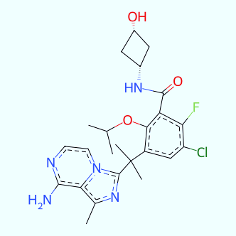 Cc1nc(C(C)(C)c2cc(Cl)c(F)c(C(=O)N[C@H]3C[C@@H](O)C3)c2OC(C)C)n2ccnc(N)c12